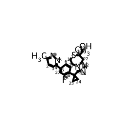 Cc1ccc(-c2ccc(C3(c4nnc5n4CCS[C@](C)(CO)C5)CC3)c(F)c2)nn1